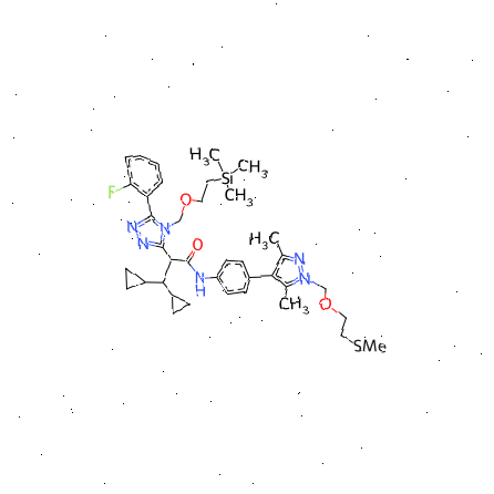 CSCCOCn1nc(C)c(-c2ccc(NC(=O)C(c3nnc(-c4ccccc4F)n3COCC[Si](C)(C)C)C(C3CC3)C3CC3)cc2)c1C